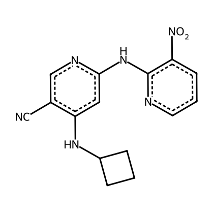 N#Cc1cnc(Nc2ncccc2[N+](=O)[O-])cc1NC1CCC1